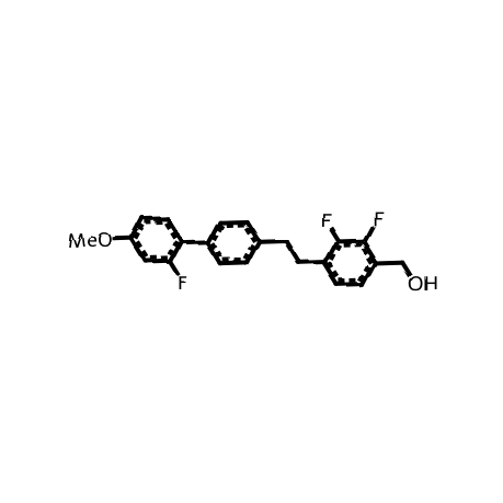 COc1ccc(-c2ccc(CCc3ccc(CO)c(F)c3F)cc2)c(F)c1